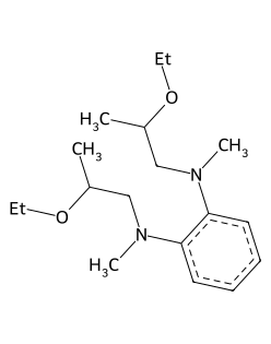 CCOC(C)CN(C)c1ccccc1N(C)CC(C)OCC